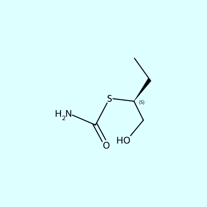 CC[C@@H](CO)SC(N)=O